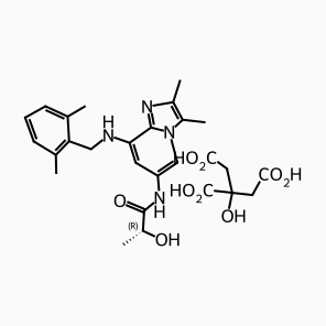 Cc1cccc(C)c1CNc1cc(NC(=O)[C@@H](C)O)cn2c(C)c(C)nc12.O=C(O)CC(O)(CC(=O)O)C(=O)O